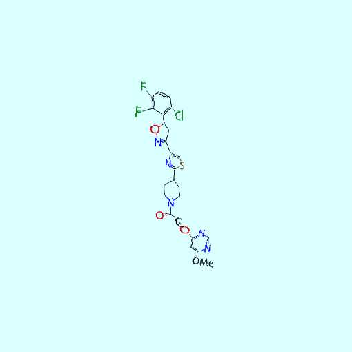 COc1cc(OCC(=O)N2CCC(c3nc(C4=NOC(c5c(Cl)ccc(F)c5F)C4)cs3)CC2)ncn1